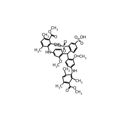 COC(=O)c1c(C)cc(C)c(Nc2ccc(C(c3ccc(Nc4c(C)cc(C)c(C(=O)OC)c4C)cc3OC)c3ccc(S(=O)(=O)O)cc3S(=O)(=O)O)c(OC)c2)c1C